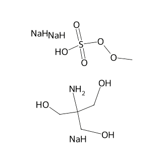 COOS(=O)(=O)O.NC(CO)(CO)CO.[NaH].[NaH].[NaH]